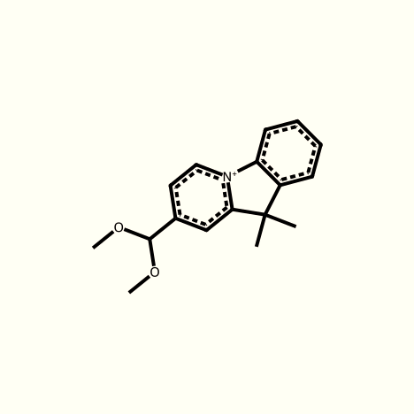 COC(OC)c1cc[n+]2c(c1)C(C)(C)c1ccccc1-2